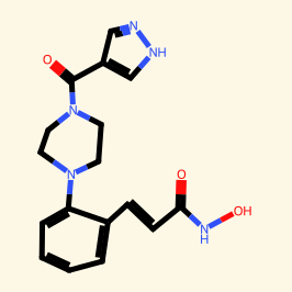 O=C(C=Cc1ccccc1N1CCN(C(=O)c2cn[nH]c2)CC1)NO